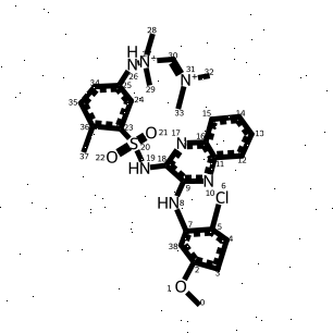 COc1ccc(Cl)c(Nc2nc3ccccc3nc2NS(=O)(=O)c2cc(N[N+](C)(C)C=[N+](C)C)ccc2C)c1